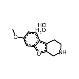 COc1ccc2c3c(oc2c1)CNCC3.Cl.O